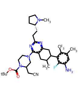 Cc1cc(N)c(F)c(C2Cc3nc(CC[C@@H]4CCCN4C)nc(N4CCN(C(=O)OC(C)(C)C)C(CC#N)C4)c3CC2C)c1C(F)(F)F